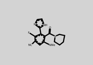 CNc1cc(C#N)c(F)c(-c2ncc[nH]2)c1C(=O)N1CCCCC1